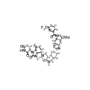 COc1cc2nc([C@H]3CC[C@H](CN(C)C4CCN(c5ccc(F)c6c5n(C)c(=O)n6C5CCC(=O)NC5=O)CC4)CC3)sc2cc1NC(=O)c1cccc(C(F)(F)F)n1